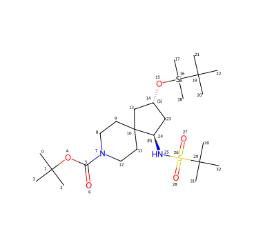 CC(C)(C)OC(=O)N1CCC2(CC1)C[C@H](O[Si](C)(C)C(C)(C)C)C[C@H]2NS(=O)(=O)C(C)(C)C